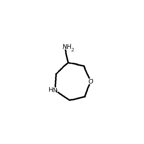 NC1CNCCOC1